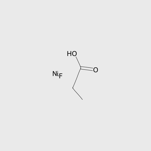 CCC(=O)O.[F].[Ni]